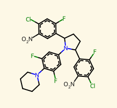 O=[N+]([O-])c1cc(C2CCC(c3cc([N+](=O)[O-])c(Cl)cc3F)N2c2cc(F)c(N3CCCCC3)c(F)c2)c(F)cc1Cl